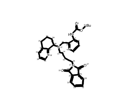 CC(C)(C)OC(=O)Nc1cccnc1CN(CCCCN1C(=O)c2ccccc2C1=O)C1CCCc2cccnc21